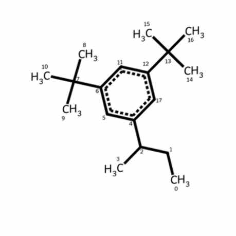 CCC(C)c1cc(C(C)(C)C)[c]c(C(C)(C)C)c1